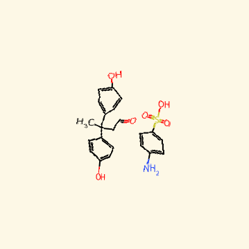 CC(CC=O)(c1ccc(O)cc1)c1ccc(O)cc1.Nc1ccc(S(=O)(=O)O)cc1